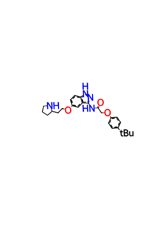 CC(C)(C)c1ccc(OCC(=O)Nc2n[nH]c3ccc(OCCC4CCCN4)cc23)cc1